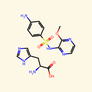 COc1nccnc1NS(=O)(=O)c1ccc(N)cc1.N[C@@H](Cc1cnc[nH]1)C(=O)O